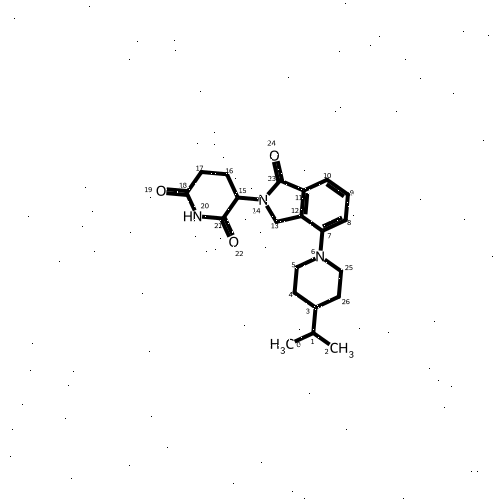 CC(C)C1CCN(c2cccc3c2CN(C2CCC(=O)NC2=O)C3=O)CC1